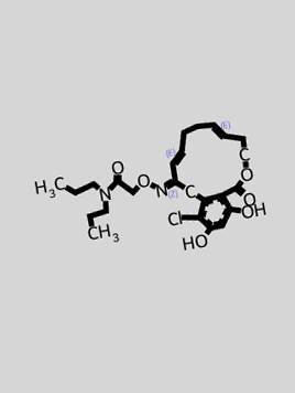 CCCN(CCC)C(=O)CO/N=C1\C=C\CC/C=C/CCOC(=O)c2c(O)cc(O)c(Cl)c2C1